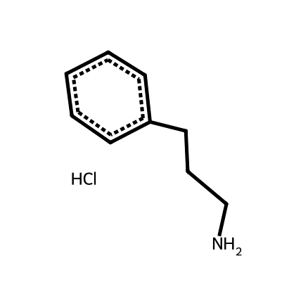 Cl.NCCCc1ccccc1